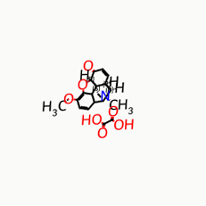 COC1=C2O[C@H]3C(=O)C=C[C@H]4[C@H]5CC(C=C1)C2[C@@]34CCN5C.O=C(O)C(=O)O